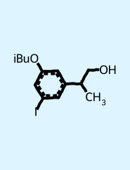 C[C](CO)c1cc(I)cc(OCC(C)C)c1